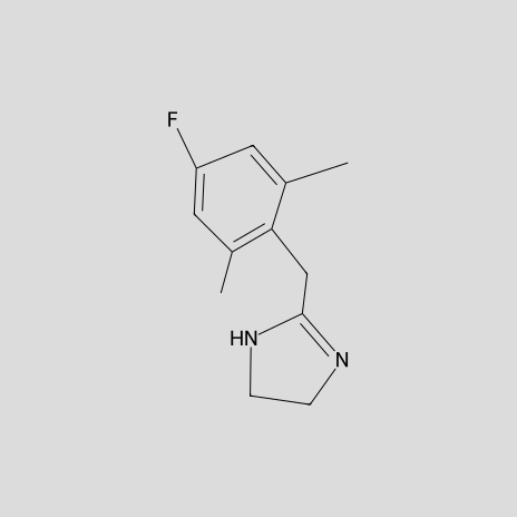 Cc1cc(F)cc(C)c1CC1=NCCN1